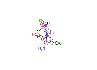 C[C@H](NC(=O)[C@@H]1Cc2ccc(O)c(c2)-c2cc(ccc2I)[C@H](N(C)C(=O)[C@H](CCCCN)NC(=O)c2ccc(-c3ccc(Cl)cc3)cc2)C(=O)N[C@@H](C)C(=O)N1)C(=O)CCl